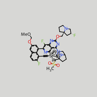 COCOc1cc(-c2ncc3c(N4CC5CCC(CS(C)(=O)=O)(C4)N5C(=O)O)nc(OC[C@@]45CCCN4C[C@H](F)C5)nc3c2F)c2c(C#C[Si](C(C)C)(C(C)C)C(C)C)c(F)ccc2c1